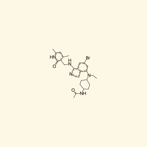 CCN(c1cc(Br)cc2c(NCc3c(C)cc(C)[nH]c3=O)nccc12)C1CCC(NC(C)=O)CC1